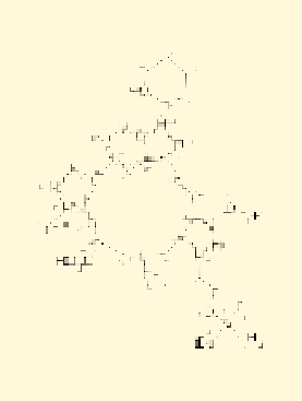 CC(C)Oc1nn(CCO[Si](C)(C)C(C)(C)C)c2c1/C=C/c1nn(C3CCCCO3)c3ccc(cc13)-c1cnn(C)c1O[C@@H](C(=O)O)CN(C)C2